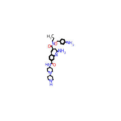 CCCN(OCc1ccc(N)cc1)C(=O)C1=Cc2ccc(C(=O)NC3CCN(C4CCNCC4)CC3)cc2N=C(N)C1